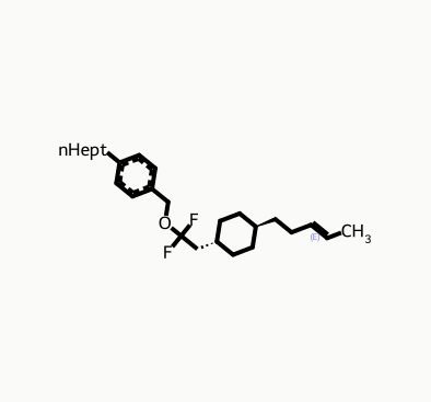 C/C=C/CC[C@H]1CC[C@H](CC(F)(F)OCc2ccc(CCCCCCC)cc2)CC1